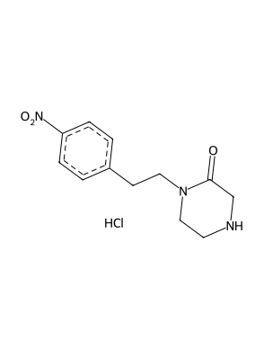 Cl.O=C1CNCCN1CCc1ccc([N+](=O)[O-])cc1